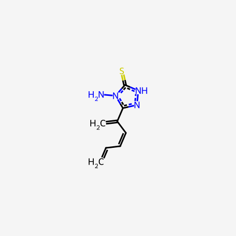 C=C/C=C\C(=C)c1n[nH]c(=S)n1N